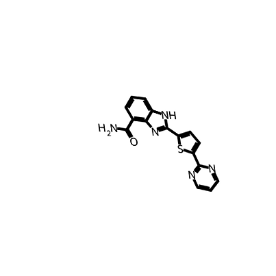 NC(=O)c1cccc2[nH]c(-c3ccc(-c4ncccn4)s3)nc12